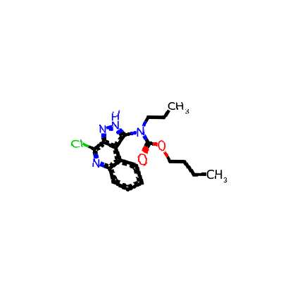 CCCCOC(=O)N(CCC)c1[nH]nc2c(Cl)nc3ccccc3c12